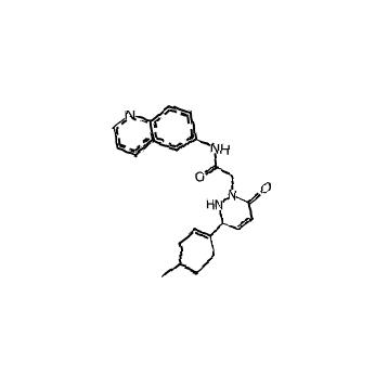 CC1CC=C(C2C=CC(=O)N(CC(=O)Nc3ccc4ncccc4c3)N2)CC1